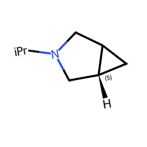 CC(C)N1CC2C[C@@H]2C1